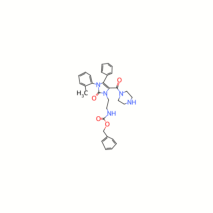 Cc1ccccc1-n1c(-c2ccccc2)c(C(=O)N2CCNCC2)n(CCNC(=O)OCc2ccccc2)c1=O